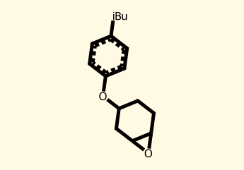 CCC(C)c1ccc(OC2CCC3OC3C2)cc1